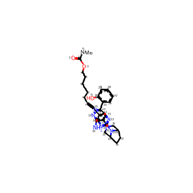 CNC(=O)OCCCCCC#Cc1cnc(N2C3CCC2CN(c2cc(-c4ccccc4O)nnc2N)C3)nc1